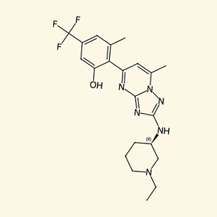 CCN1CCC[C@@H](Nc2nc3nc(-c4c(C)cc(C(F)(F)F)cc4O)cc(C)n3n2)C1